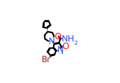 Cn1c(=O)c(C(N)=O)c(N2CCC[C@H](c3ccccc3)CC2)c2ccc(Br)cc21